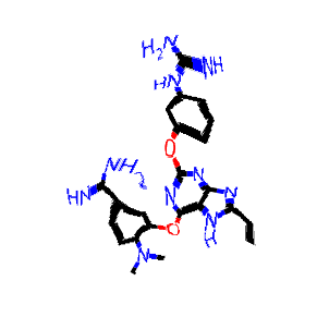 CCc1nc2nc(Oc3cccc(NC(=N)N)c3)nc(Oc3cc(C(=N)N)ccc3N(C)C)c2[nH]1